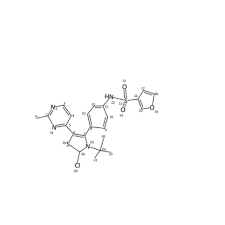 Cc1nccc(C2=C(c3ccc(NS(=O)(=O)c4ccoc4)cc3)N(C(C)(C)C)C(Cl)S2)n1